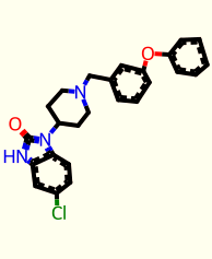 O=c1[nH]c2cc(Cl)ccc2n1C1CCN(Cc2cccc(Oc3ccccc3)c2)CC1